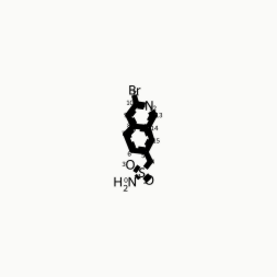 NS(=O)(=O)Cc1ccc2cc(Br)ncc2c1